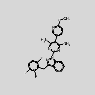 COc1ccc(-c2c(N)nc(-n3nc(Cc4c(F)ccc(F)c4F)c4ccccc43)nc2N)cn1